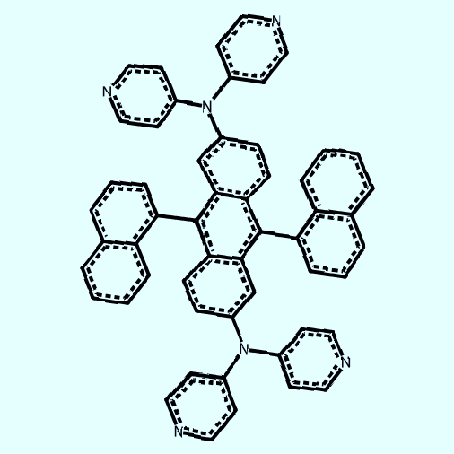 c1ccc2c(-c3c4ccc(N(c5ccncc5)c5ccncc5)cc4c(-c4cccc5ccccc45)c4ccc(N(c5ccncc5)c5ccncc5)cc34)cccc2c1